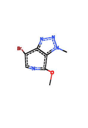 COc1ncc(Br)c2nnn(C)c12